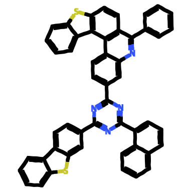 c1ccc(-c2nc3cc(-c4nc(-c5ccc6c(c5)sc5ccccc56)nc(-c5cccc6ccccc56)n4)ccc3c3c2ccc2sc4ccccc4c23)cc1